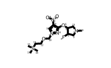 CN1CC(F)C(Oc2nn(COCC[Si](C)(C)C)cc2[N+](=O)[O-])C1